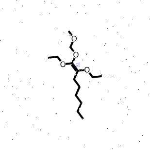 CCCCCC/C(OCC)=C(\OCC)OCOC